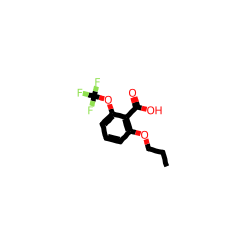 CCCOc1cccc(OC(F)(F)F)c1C(=O)O